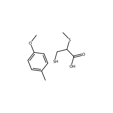 COc1ccc(C)cc1.CSC(CS)C(=O)O